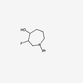 CC(C)N1CCCC(O)C(F)C1